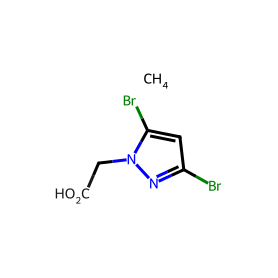 C.O=C(O)Cn1nc(Br)cc1Br